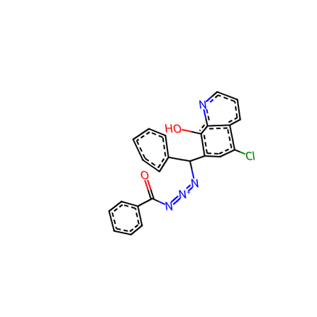 O=C(N=[N+]=NC(c1ccccc1)c1cc(Cl)c2cccnc2c1O)c1ccccc1